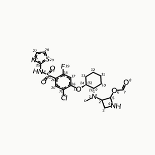 CN(C1CNC1OC=O)[C@H]1CCCC[C@@H]1Oc1cc(F)c(S(=O)(=O)Nc2nccs2)cc1Cl